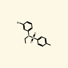 CCN(c1cccc(Br)c1)S(=O)(=O)c1ccc(C)cc1